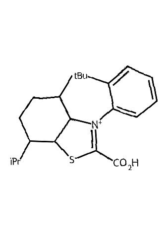 CC(C)C1CCC(C)C2C1SC(C(=O)O)=[N+]2c1ccccc1C(C)(C)C